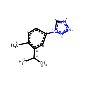 Cc1ccc(-n2cnnn2)cc1C(C)C